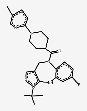 Cc1ccc(N2CCC(C(=O)N3Cc4cnn(C(C)(C)C)c4Nc4cc(F)ccc43)CC2)nc1